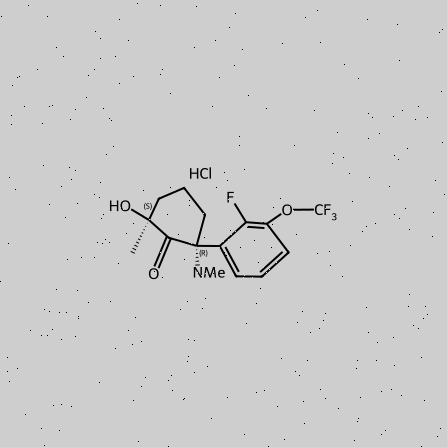 CN[C@@]1(c2cccc(OC(F)(F)F)c2F)CCC[C@](C)(O)C1=O.Cl